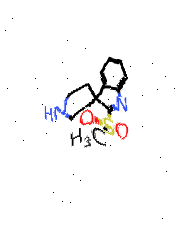 CS(=O)(=O)C1=Nc2ccccc2C12CCNCC2